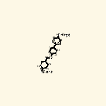 CCCCCCCc1cnc(-c2ccc(OCC3CCC(CCCCC)CC3)cc2)nc1